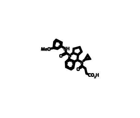 COc1cccc(NC(=O)N2c3ccccc3C(N(C(=O)CCC(=O)O)C3CC3)C3CCCC32)c1